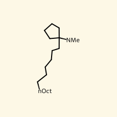 CCCCCCCCCCCCCCC1(NC)CCCC1